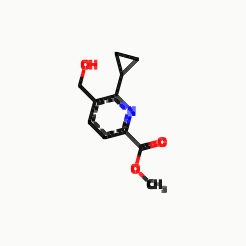 COC(=O)c1ccc(CO)c(C2CC2)n1